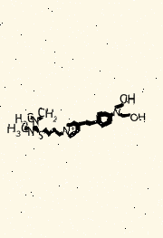 C=CN(C)/C(=N\C)SCCCC[n+]1ccc(/C=C/c2ccc(N(CCO)CCO)cc2)cc1